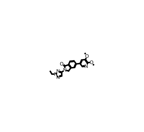 CCn1ncc(N2Cc3cc(-c4cnc(OC)c(OC)c4)ccc3C2=O)n1